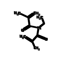 C=C(C)[C](=O)[Pt]([CH2]C)[C](=O)C(=C)C